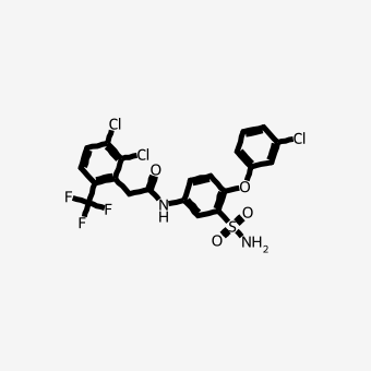 NS(=O)(=O)c1cc(NC(=O)Cc2c(C(F)(F)F)ccc(Cl)c2Cl)ccc1Oc1cccc(Cl)c1